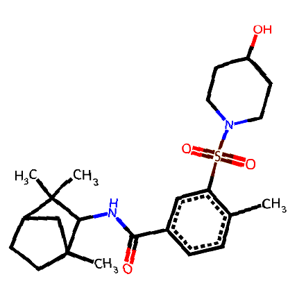 Cc1ccc(C(=O)NC2C3(C)CCC(C3)C2(C)C)cc1S(=O)(=O)N1CCC(O)CC1